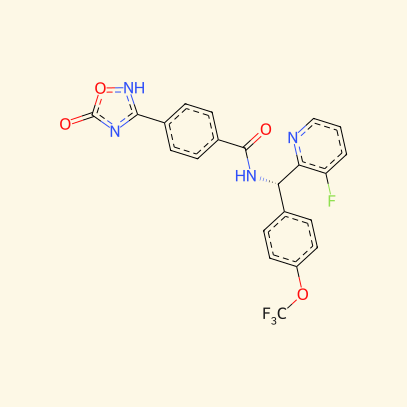 O=C(N[C@@H](c1ccc(OC(F)(F)F)cc1)c1ncccc1F)c1ccc(-c2nc(=O)o[nH]2)cc1